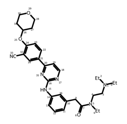 CCN(CC)CCN(CC)C(=O)Cc1cccc(Nc2nccc(-c3ccc(OC4CCOCC4)c(C#N)c3)n2)c1